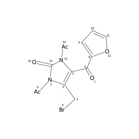 CC(=O)n1c(CBr)c(C(=O)c2ccco2)n(C(C)=O)c1=O